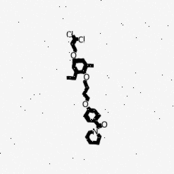 CCc1cc(OCC=C(Cl)Cl)cc(C)c1OCCCCOc1ccc(C(=O)N2CCCCC2)cc1